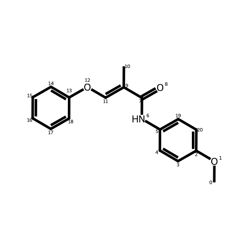 COc1ccc(NC(=O)C(C)=COc2ccccc2)cc1